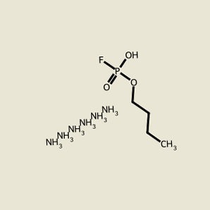 CCCCOP(=O)(O)F.N.N.N.N.N.N